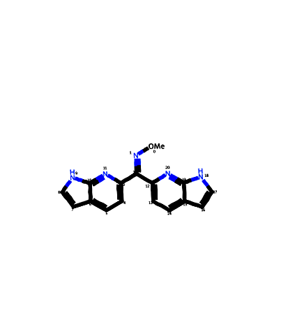 CON=C(c1ccc2cc[nH]c2n1)c1ccc2cc[nH]c2n1